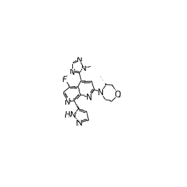 C[C@@H]1COCCN1c1cc(-c2ncnn2C)c2c(F)cnc(-c3ccn[nH]3)c2n1